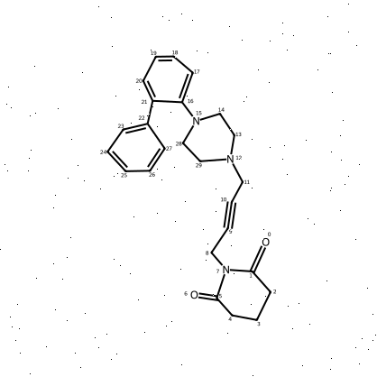 O=C1CCCC(=O)N1CC#CCN1CCN(c2ccccc2-c2ccccc2)CC1